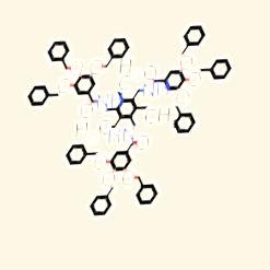 CCc1c(CNC(=O)c2cc(OCc3ccccc3)c(OCc3ccccc3)c(OCc3ccccc3)c2)c(CC)c(CNC(=O)c2cc(OCc3ccccc3)c(OCc3ccccc3)c(OCc3ccccc3)c2)c(CC)c1CNC(=O)c1cc(OCc2ccccc2)c(OCc2ccccc2)c(OCc2ccccc2)c1